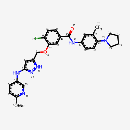 COc1ccc(Nc2cc(COc3cc(C(=O)Nc4ccc(N5CCCC5)c(C(F)(F)F)c4)ccc3F)[nH]n2)cn1